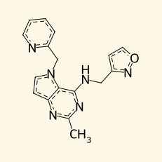 Cc1nc(NCc2ccon2)c2c(ccn2Cc2ccccn2)n1